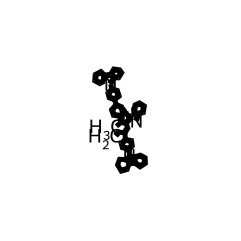 C=C/C(=C\c1c(C)c2ccc(-c3ccc(-n4c5ccccc5c5ccccc54)cc3)cc2n2c1nc1ccccc12)c1ccc(-n2c3c(c4ccccc42)C=CCC3)cc1